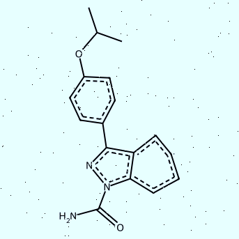 CC(C)Oc1ccc(-c2nn(C(N)=O)c3cc[c]cc23)cc1